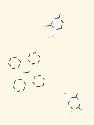 Cc1cn(CCCOc2ccc(C(=C(c3ccccc3)c3ccccc3)c3ccc(OCCCn4cc(C)c(=O)[nH]c4=O)cc3)cc2)c(=O)[nH]c1=O